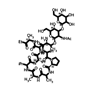 CCC(=O)[C@H](C)NC(=O)C(NC(=O)[C@@H](NC(=O)C(NC(=O)[C@H](C)NC(=O)C(C)NC(=O)[C@@H]1CCCN1C(=O)C(NC(=O)[C@@H](N)C(C)O[C@H]1OC(CO)[C@H](O)C(O[C@@H]2OC(CO)[C@H](O)C(O)C2O)C1NC(C)=O)C(C)C)C(C)C)C(C)C)C(C)C